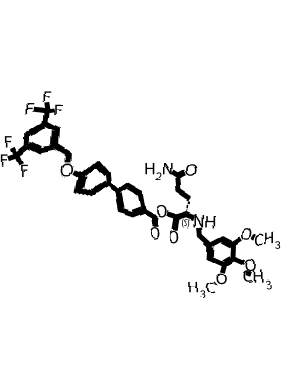 COc1cc(CN[C@@H](CCC(N)=O)C(=O)OC(=O)c2ccc(-c3ccc(OCc4cc(C(F)(F)F)cc(C(F)(F)F)c4)cc3)cc2)cc(OC)c1OC